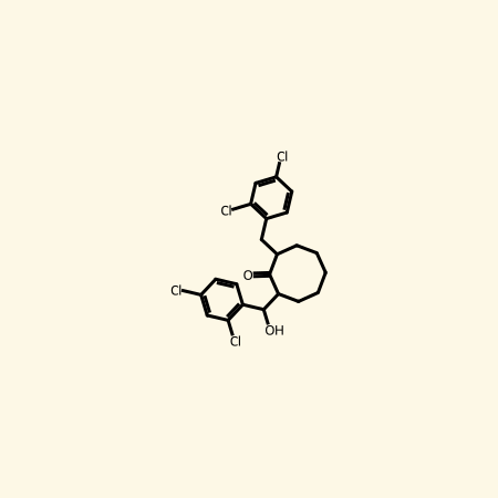 O=C1C(Cc2ccc(Cl)cc2Cl)CCCCCC1C(O)c1ccc(Cl)cc1Cl